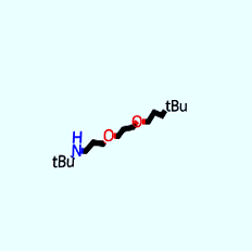 CC(C)(C)CCCOCCCOCCCNC(C)(C)C